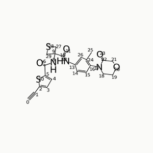 C#Cc1ccc(C(=O)NC2(C(=O)Nc3ccc(N4CCOCC4=O)c(C)c3)CSC2)s1